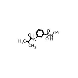 C=C(C)C(=O)Nc1cccc(S(=O)(=O)NCCC)c1